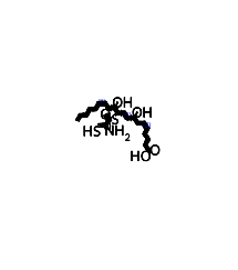 CCCCC/C=C\C[C@@H](O)[C@H](/C=C/[C@@H](O)C/C=C\CCCC(=O)O)SC(=O)[C@@H](N)CS